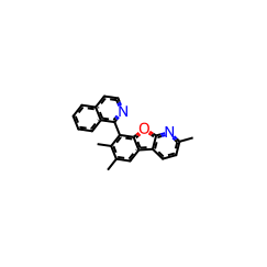 Cc1ccc2c(n1)oc1c(-c3nccc4ccccc34)c(C)c(C)cc12